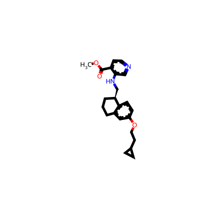 COC(=O)c1ccncc1NC[C@@H]1CCCc2cc(OCCC3CC3)ccc21